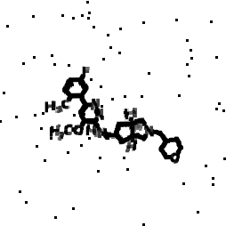 COc1cc(-c2cc(F)ccc2C)nnc1NC1C[C@@H]2CN(CC3CCOCC3)C[C@@H]2C1